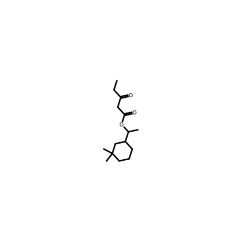 CCC(=O)CC(=O)OC(C)C1CCCC(C)(C)C1